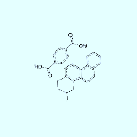 CC1CCc2ccc3c(ccc4ccccc43)c2C1.O=C(O)c1ccc(C(=O)O)cc1